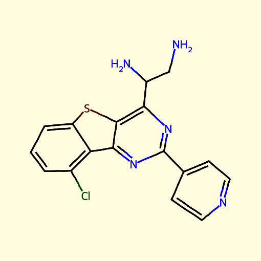 NCC(N)c1nc(-c2ccncc2)nc2c1sc1cccc(Cl)c12